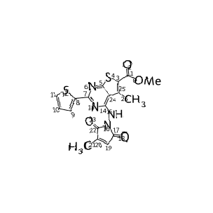 COC(=O)c1sc2nc(-c3cccs3)nc(NN3C(=O)C=C(C)C3=O)c2c1C